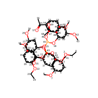 CCOc1ccc(OC)cc1OP(Oc1cc(OC)ccc1OCC)Oc1cc(OC)ccc1C(=O)c1ccc(OC)cc1OP(Oc1cc(OC)ccc1C(C)=O)Oc1cc(OC)ccc1C(C)=O